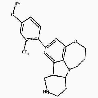 CC(C)Oc1ccc(-c2cc3c4c(c2)C2CNCCC2N4CCCO3)c(C(F)(F)F)c1